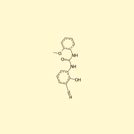 COc1ccccc1NC(=O)Nc1cccc(C#N)c1O